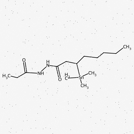 CCCCC[CH](CC(=O)NNC(=O)CC)[Sn]([CH3])([CH3])[CH3]